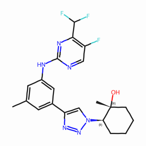 Cc1cc(Nc2ncc(F)c(C(F)F)n2)cc(-c2cn([C@@H]3CCCC[C@@]3(C)O)nn2)c1